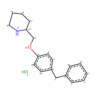 Cl.c1ccc(Cc2ccc(OCC3CCCCN3)cc2)cc1